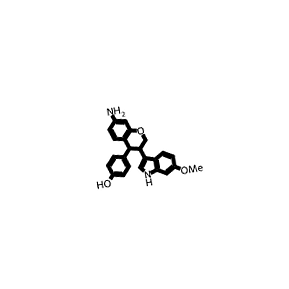 COc1ccc2c(C3COc4cc(N)ccc4C3c3ccc(O)cc3)c[nH]c2c1